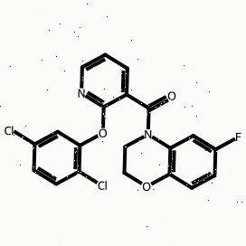 O=C(c1cccnc1Oc1cc(Cl)ccc1Cl)N1CCOc2ccc(F)cc21